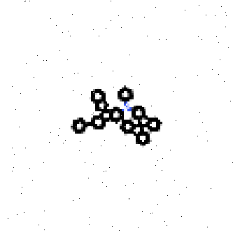 c1ccc(-c2ccc3c(c2)C2(Cc4ccccc4C2)c2cc(N(c4ccccc4)c4ccc5c(c4)C4(c6ccccc6-c6ccccc64)c4ccccc4-5)ccc2-3)cc1